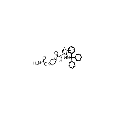 Cn1ncc(NC(=O)N2CC[C@H](OC(N)=O)C2)c1NC(c1ccccc1)(c1ccccc1)c1ccccc1